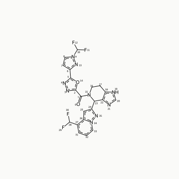 O=C(c1nnc(-c2ccn(C(F)F)n2)o1)N1CCc2[nH]cnc2C1c1cc2c(C(F)F)cccn2n1